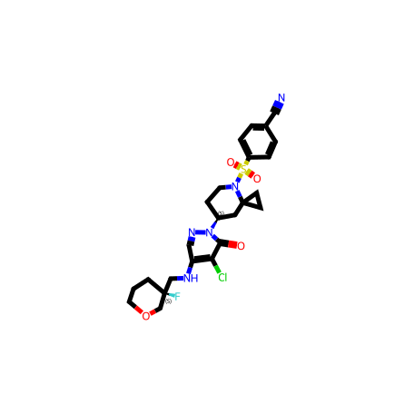 N#Cc1ccc(S(=O)(=O)N2CC[C@H](n3ncc(NC[C@@]4(F)CCCOC4)c(Cl)c3=O)CC23CC3)cc1